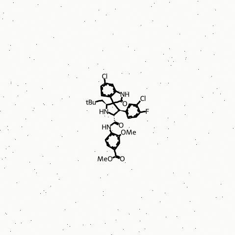 COC(=O)c1ccc(NC(=O)[C@@H]2N[C@@H](CC(C)(C)C)C3(C(=O)Nc4cc(Cl)ccc43)[C@H]2c2ccc(F)c(Cl)c2)c(OC)c1